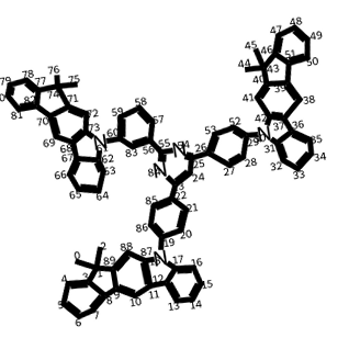 CC1(C)c2ccccc2-c2cc3c4ccccc4n(-c4ccc(-c5cc(-c6ccc(-n7c8ccccc8c8cc9c(cc87)C(C)(C)c7ccccc7-9)cc6)nc(-c6cccc(-n7c8ccccc8c8cc9c(cc87)C(C)(C)c7ccccc7-9)c6)n5)cc4)c3cc21